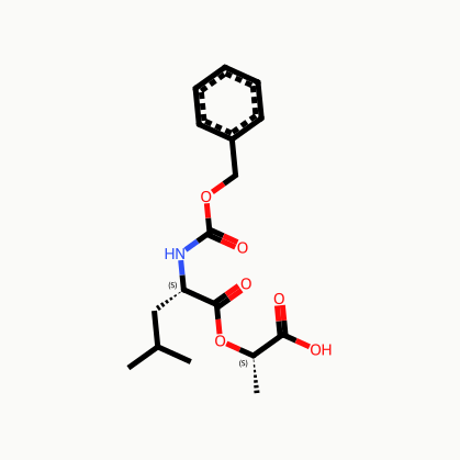 CC(C)C[C@H](NC(=O)OCc1ccccc1)C(=O)O[C@@H](C)C(=O)O